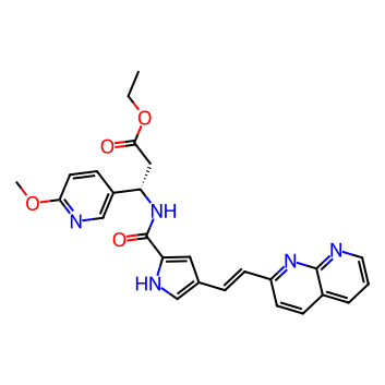 CCOC(=O)C[C@H](NC(=O)c1cc(/C=C/c2ccc3cccnc3n2)c[nH]1)c1ccc(OC)nc1